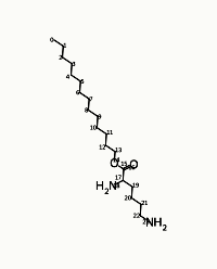 CCCCCCCCCCCCCCOC(=O)C(N)CCCCN